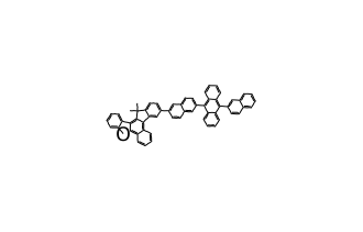 CC1(C)c2ccc(-c3ccc4cc(-c5c6ccccc6c(-c6ccc7ccccc7c6)c6ccccc56)ccc4c3)cc2-c2c1c1c3ccccc3oc1c1ccccc21